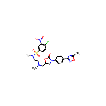 Cc1nc(-c2ccc(N3CC(CN(C)CCN(C)S(=O)(=O)c4ccc(Cl)c([N+](=O)[O-])c4)OC3=O)cc2)no1